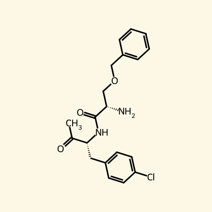 CC(=O)[C@@H](Cc1ccc(Cl)cc1)NC(=O)[C@@H](N)COCc1ccccc1